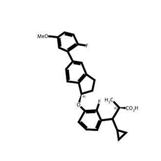 COc1ccc(F)c(-c2ccc3c(c2)CC[C@H]3Oc2cccc(C(C3CC3)[C@@H](C)C(=O)O)c2F)c1